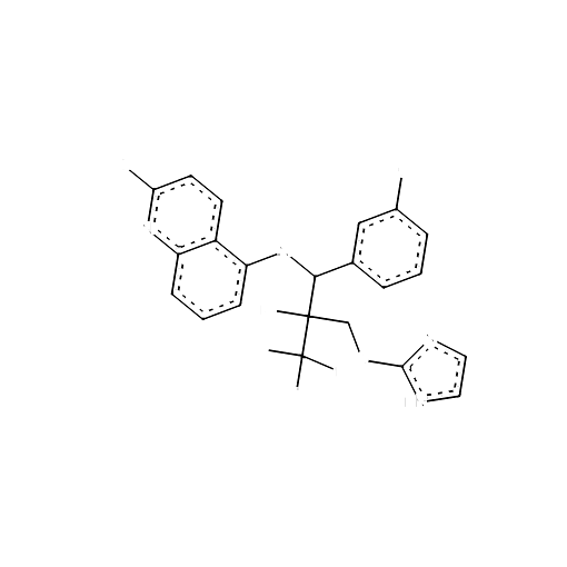 Cc1ccc2c(NC(c3cccc(O)c3)C(O)(CSc3ncc[nH]3)C(F)(F)F)cccc2n1